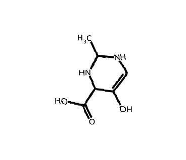 CC1NC=C(O)C(C(=O)O)N1